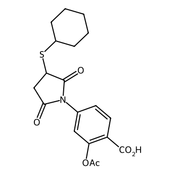 CC(=O)Oc1cc(N2C(=O)CC(SC3CCCCC3)C2=O)ccc1C(=O)O